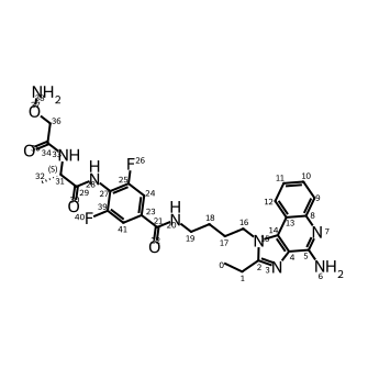 CCc1nc2c(N)nc3ccccc3c2n1CCCCNC(=O)c1cc(F)c(NC(=O)[C@H](C)NC(=O)CON)c(F)c1